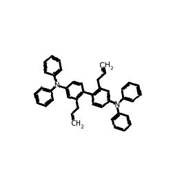 C=CCc1cc(N(c2ccccc2)c2ccccc2)ccc1-c1ccc(N(c2ccccc2)c2ccccc2)cc1CC=C